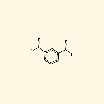 FC(F)c1c[c]cc(C(F)F)c1